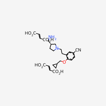 N#Cc1ccc(OCC2CC2)c(CCN2CC[C@@H](CN)C2)c1.O=C(O)/C=C/C(=O)O.O=C(O)/C=C/C(=O)O